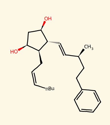 CCCC/C=C\C[C@@H]1[C@@H](/C=C/[C@@H](C)CCc2ccccc2)[C@H](O)C[C@@H]1O